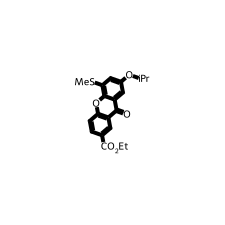 CCOC(=O)c1ccc2oc3c(SC)cc(OC(C)C)cc3c(=O)c2c1